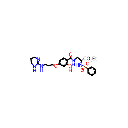 CCOC(=O)[C@H](CNC(=O)c1ccc(OCCCNC2=NCCCN2)cc1O)NS(=O)(=O)c1ccccc1